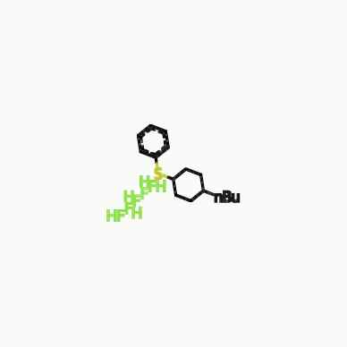 CCCCC1CCC(Sc2ccccc2)CC1.F.F.F.F.F